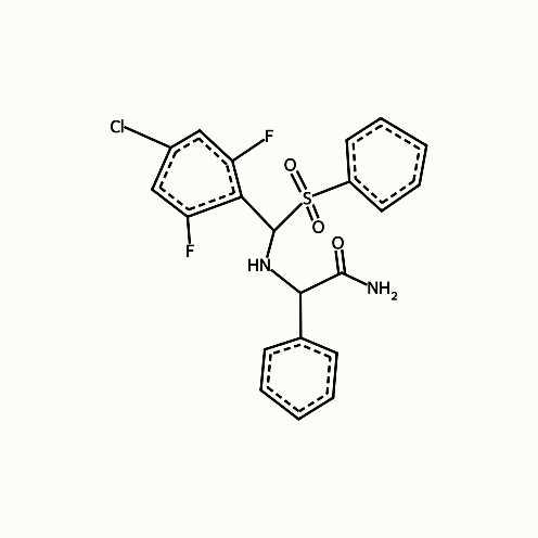 NC(=O)C(NC(c1c(F)cc(Cl)cc1F)S(=O)(=O)c1ccccc1)c1ccccc1